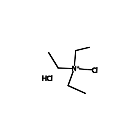 CC[N+](Cl)(CC)CC.Cl